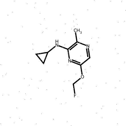 Cc1ncc(OCF)nc1NC1CC1